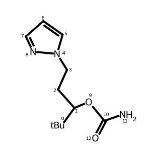 CC(C)(C)C(CCn1cccn1)OC(N)=O